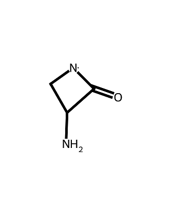 NC1C[N]C1=O